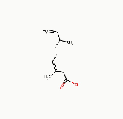 C=CC(C)CCC=C(C)CC(=O)O